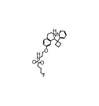 O=S(=O)(CCCF)NCCOc1ccc2c(c1)C(C1(c3ccccn3)CCC1)NCC2